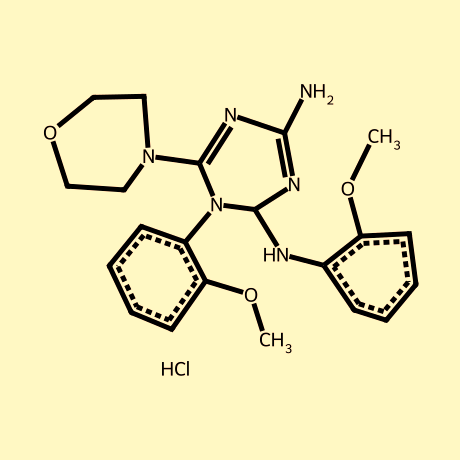 COc1ccccc1NC1N=C(N)N=C(N2CCOCC2)N1c1ccccc1OC.Cl